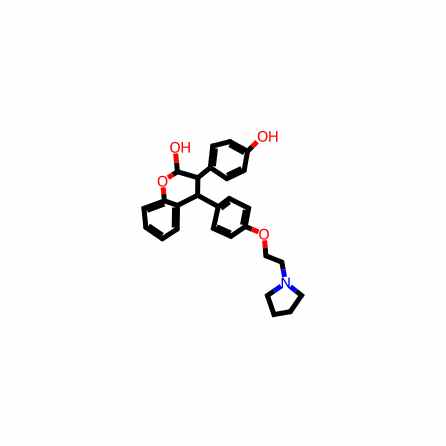 Oc1ccc(C2C(O)Oc3ccccc3C2c2ccc(OCCN3CCCC3)cc2)cc1